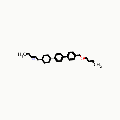 C=CCCOCc1ccc(-c2ccc([C@H]3CC[C@H](C/C=C/CC)CC3)cc2)cc1